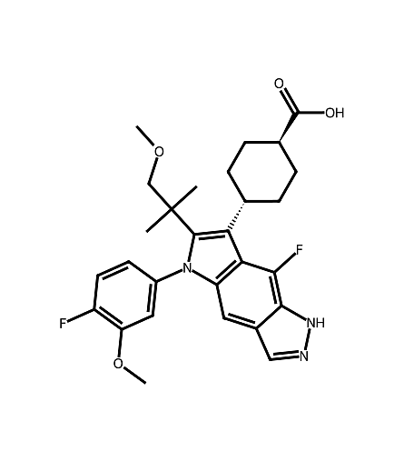 COCC(C)(C)c1c([C@H]2CC[C@H](C(=O)O)CC2)c2c(F)c3[nH]ncc3cc2n1-c1ccc(F)c(OC)c1